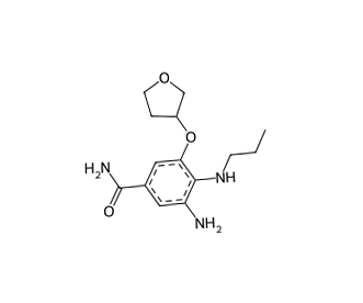 CCCNc1c(N)cc(C(N)=O)cc1OC1CCOC1